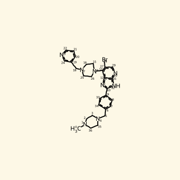 CN1CCN(Cc2ccc(-c3nc4c(N5CCN(Cc6cccnc6)CC5)c(Br)cnc4[nH]3)cc2)CC1